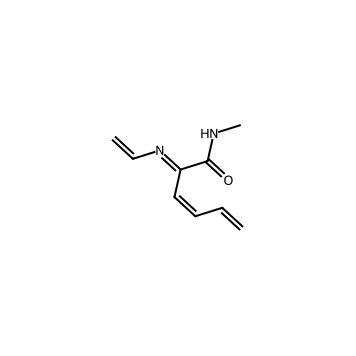 C=C/C=C\C(=N/C=C)C(=O)NC